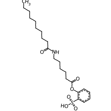 CCCCCCCCCC(=O)NCCCCCC(=O)Oc1ccccc1S(=O)(=O)O